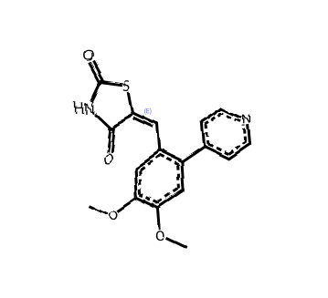 COc1cc(/C=C2/SC(=O)NC2=O)c(-c2ccncc2)cc1OC